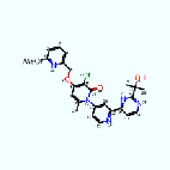 COc1cccc(COc2cc(C)n(-c3ccnc(-c4ccnc(C(C)(C)O)n4)c3)c(=O)c2Br)n1